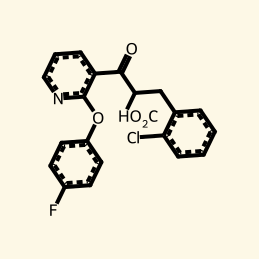 O=C(O)C(Cc1ccccc1Cl)C(=O)c1cccnc1Oc1ccc(F)cc1